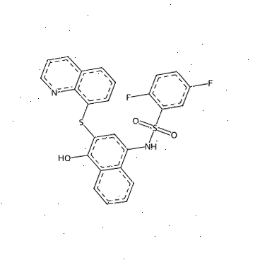 O=S(=O)(Nc1cc(Sc2cccc3cccnc23)c(O)c2ccccc12)c1cc(F)ccc1F